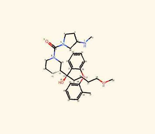 CNC1CCN(C(=O)N2CCC[C@@H]([C@@](O)(CCCCOC)c3ccccc3Oc3ccccc3C)C2)C1